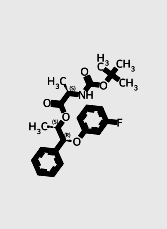 C[C@H](NC(=O)OC(C)(C)C)C(=O)O[C@@H](C)[C@H](Oc1cccc(F)c1)c1ccccc1